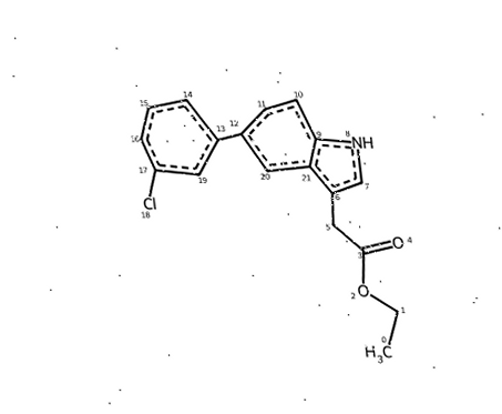 CCOC(=O)Cc1c[nH]c2ccc(-c3cccc(Cl)c3)cc12